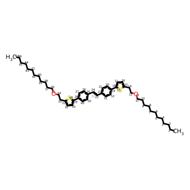 CCCCCCCCCCCCOCCc1ccc(-c2ccc(/C=C/c3ccc(-c4ccc(CCOCCCCCCCCCCCC)s4)cc3)cc2)s1